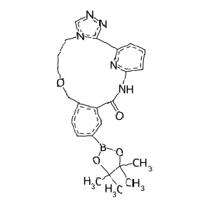 CC1(C)OB(c2ccc3c(c2)C(=O)Nc2cccc(n2)-c2nncn2CCCOC3)OC1(C)C